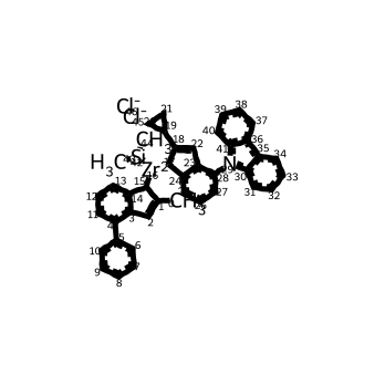 CC1=Cc2c(-c3ccccc3)cccc2[CH]1[Zr+2]([CH]1C(C2CC2)=Cc2c1cccc2-n1c2ccccc2c2ccccc21)=[Si](C)C.[Cl-].[Cl-]